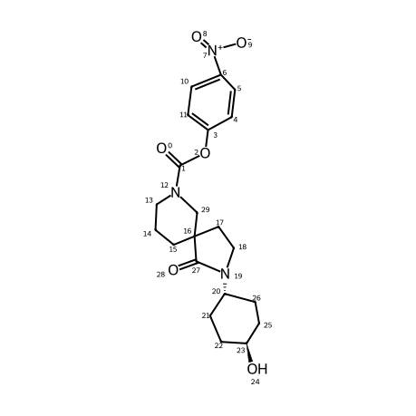 O=C(Oc1ccc([N+](=O)[O-])cc1)N1CCCC2(CCN([C@H]3CC[C@H](O)CC3)C2=O)C1